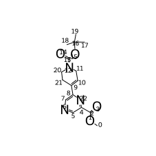 COC(=O)c1cncc(C2=CCN(C(=O)OC(C)(C)C)CC2)n1